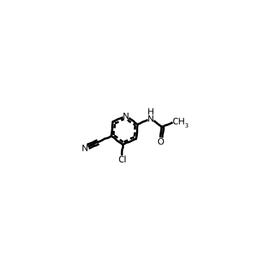 CC(=O)Nc1cc(Cl)c(C#N)cn1